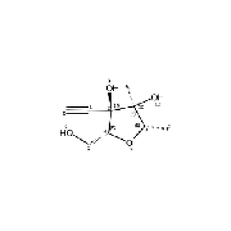 C#C[C@@]1(O)[C@@H](CO)O[C@@H](C)[C@]1(C)O